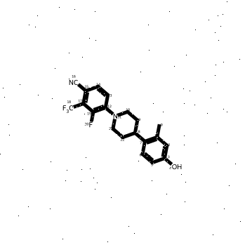 Cc1cc(O)ccc1C1CCN(c2ccc(C#N)c(C(F)(F)F)c2F)CC1